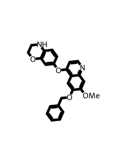 COc1cc2nccc(Oc3ccc4c(c3)OCCN4)c2cc1OCc1ccccc1